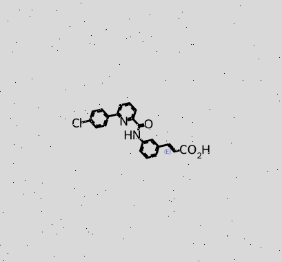 O=C(O)/C=C/c1cccc(NC(=O)c2cccc(-c3ccc(Cl)cc3)n2)c1